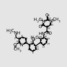 CNCc1ccc(-c2cccc(-c3cccc(NC(=O)c4cn(C)c(=O)n(C)c4=O)c3C)c2Cl)nc1OC